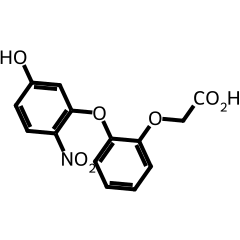 O=C(O)COc1ccccc1Oc1cc(O)ccc1[N+](=O)[O-]